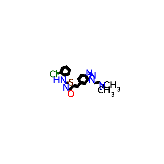 CN(C)CCn1nnc2ccc(/C=C3\SC(Nc4ccccc4Cl)=NC3=O)cc21